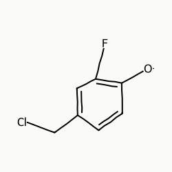 [O]c1ccc(CCl)cc1F